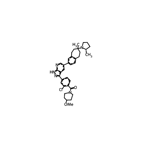 COC1CCN(C(=O)c2ccc(-c3n[nH]c4ncc(-c5ccc6c(c5)CCC(C)(N5CCC[C@H]5C)CC6)cc34)cc2Cl)CC1